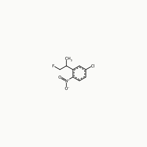 C[C](CF)c1cc(Cl)ccc1[N+](=O)[O-]